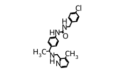 Cc1cccnc1CN[C@@H](C)c1ccc(NC(=O)NCc2ccc(Cl)cc2)cc1